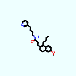 CCCCC1=C(C=CC(=O)NCCCCc2cccnc2)CCc2cc(OC)ccc21